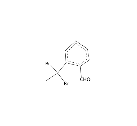 CC(Br)(Br)c1ccccc1[C]=O